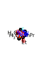 CCCC1=NC2(CCCN(C(=O)C3(F)CCCC3)C2)C(=O)N1Cc1ccc(-c2ccccc2S(=O)(=O)Nc2noc(C)c2C)c(COCC)c1